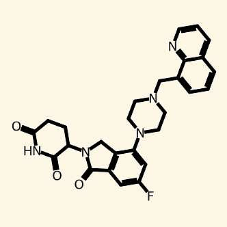 O=C1CCC(N2Cc3c(cc(F)cc3N3CCN(Cc4cccc5cccnc45)CC3)C2=O)C(=O)N1